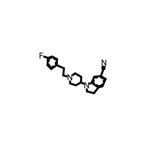 N#Cc1ccc2c(c1)N(C1CCN(CCc3ccc(F)cc3)CC1)CC2